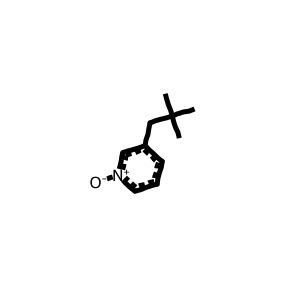 CC(C)(C)Cc1ccc[n+]([O-])c1